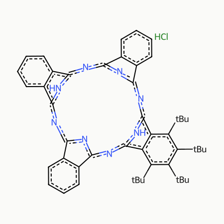 CC(C)(C)c1c(C(C)(C)C)c(C(C)(C)C)c2c3nc4nc(nc5[nH]c(nc6nc(nc([nH]3)c2c1C(C)(C)C)-c1ccccc1-6)c1ccccc51)-c1ccccc1-4.Cl